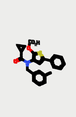 Cc1cccc(CN(C(=O)C2CC2)c2cc(-c3ccccc3)sc2OC(=O)O)c1